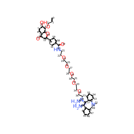 C=CCOc1c(O)ccc2c(=O)cc(-c3ccc(C(=O)NCCOCCOCCOCCOCCOCCN(N)/C4=C(\N)c5ccccc5CN(C)c5ccccc54)cc3)oc12